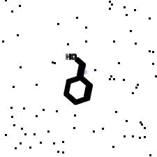 O/C=C1/C=CCCC1